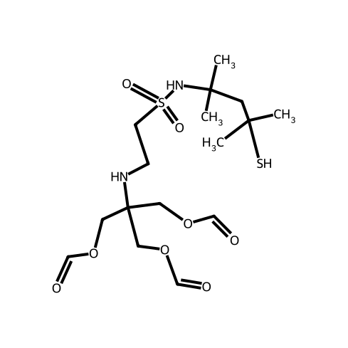 CC(C)(S)CC(C)(C)NS(=O)(=O)CCNC(COC=O)(COC=O)COC=O